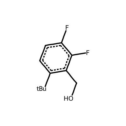 CC(C)(C)c1ccc(F)c(F)c1CO